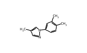 Cc1cnn(-c2ccc(C)c(C)c2)c1